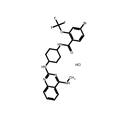 CNc1nc(NC2CCC(NC(=O)c3ccc(Br)cc3OC(F)(F)F)CC2)nc2ccccc12.Cl